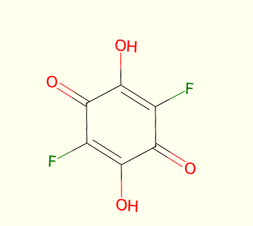 O=C1C(O)=C(F)C(=O)C(O)=C1F